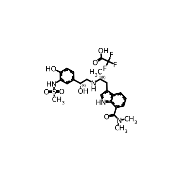 C[C@H](Cc1c[nH]c2c(C(=O)N(C)C)cccc12)NC[C@H](O)c1ccc(O)c(NS(C)(=O)=O)c1.O=C(O)C(F)(F)F